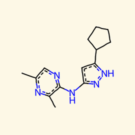 Cc1cnc(Nc2cc(C3CCCC3)[nH]n2)c(C)n1